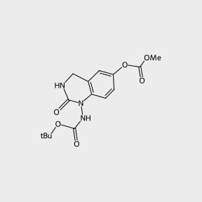 COC(=O)Oc1ccc2c(c1)CNC(=O)N2NC(=O)OC(C)(C)C